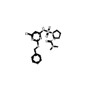 CN(C)C(=O)[C@H]1CCCN1S(=O)(=O)Nc1cc(Cl)nc(SCc2ccccc2)n1